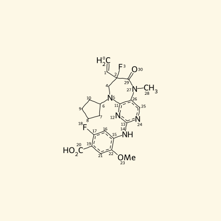 C=CC1(F)CN(C2CCCC2)c2nc(Nc3cc(F)c(C(=O)O)cc3OC)ncc2N(C)C1=O